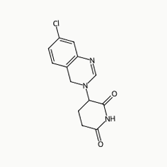 O=C1CCC(N2C=Nc3cc(Cl)ccc3C2)C(=O)N1